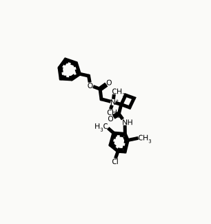 Cc1cc(Cl)cc(C)c1NC(=O)C1([N+](C)(C)CC(=O)OCc2ccccc2)CCC1